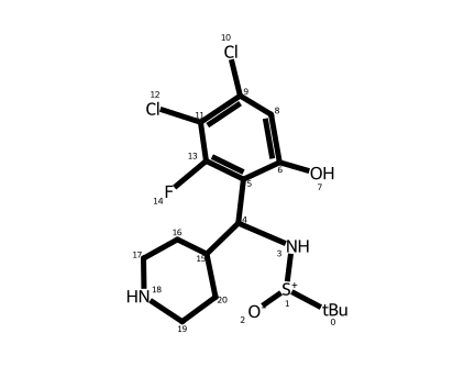 CC(C)(C)[S+]([O-])NC(c1c(O)cc(Cl)c(Cl)c1F)C1CCNCC1